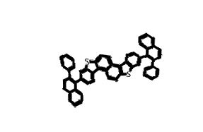 c1ccc(-c2ccc3ccccc3c2-c2ccc3c(c2)sc2ccc4c(ccc5sc6cc(-c7c(-c8ccccc8)ccc8ccccc78)ccc6c54)c23)cc1